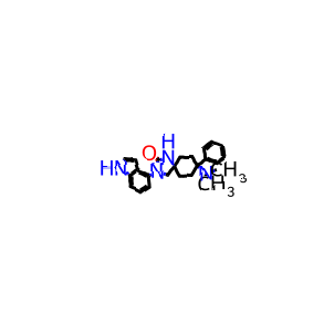 CN(C)C1(c2ccccc2)CCC2(CC1)CN(c1cccc3[nH]ccc13)C(=O)N2